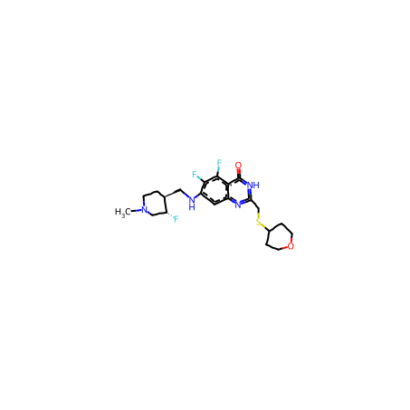 CN1CC[C@@H](CNc2cc3nc(CSC4CCOCC4)[nH]c(=O)c3c(F)c2F)[C@H](F)C1